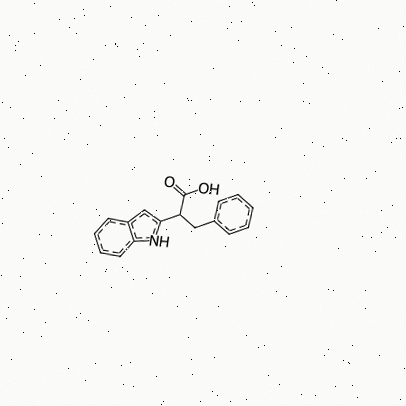 O=C(O)C(Cc1ccccc1)c1cc2ccccc2[nH]1